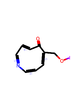 O=C1/C=C/C=N\C=C/C=C\1COI